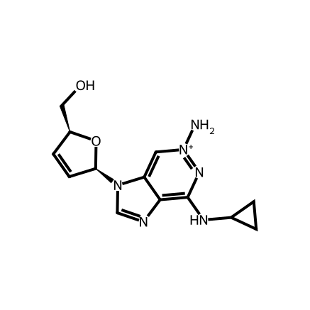 N[n+]1cc2c(ncn2[C@H]2C=C[C@@H](CO)O2)c(NC2CC2)n1